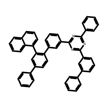 c1ccc(-c2cccc(-c3nc(-c4ccccc4)nc(-c4cccc(-c5ccc(-c6ccccc6)cc5-c5cccc6ccccc56)c4)n3)c2)cc1